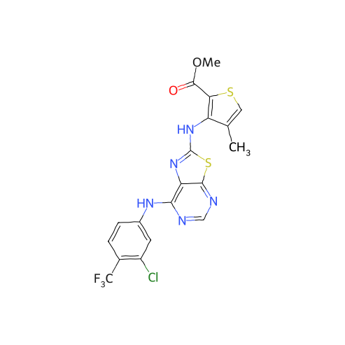 COC(=O)c1scc(C)c1Nc1nc2c(Nc3ccc(C(F)(F)F)c(Cl)c3)ncnc2s1